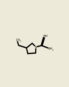 CCC1CCN(C(=N)N)C1